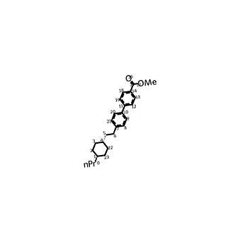 CCC[C@H]1CC[C@H](CCc2ccc(-c3ccc(C(=O)OC)cc3)cc2)CC1